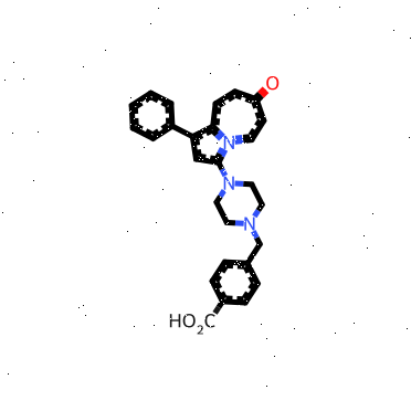 O=C(O)c1ccc(CN2CCN(c3cc(-c4ccccc4)c4ccc(=O)ccn34)CC2)cc1